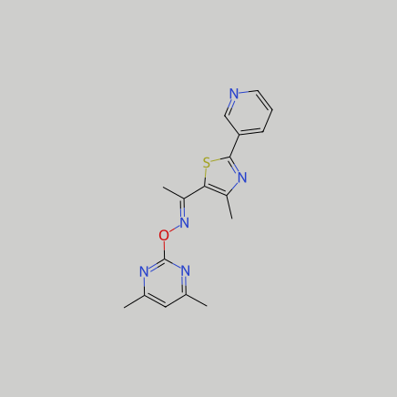 C/C(=N\Oc1nc(C)cc(C)n1)c1sc(-c2cccnc2)nc1C